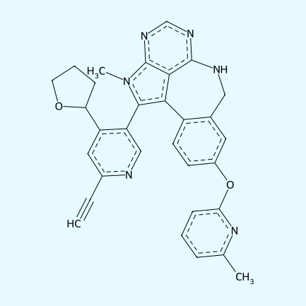 C#Cc1cc(C2CCCO2)c(-c2c3c4c(ncnc4n2C)NCc2cc(Oc4cccc(C)n4)ccc2-3)cn1